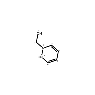 OCN1C=CC=CN1